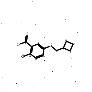 O=C(Cl)c1cc(OCC2CCC2)ccc1Cl